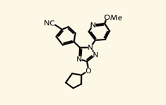 COc1ccc(-n2nc(OC3CCCC3)nc2-c2ccc(C#N)cc2)cn1